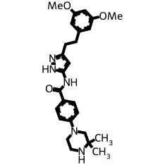 COc1cc(CCc2cc(NC(=O)c3ccc(N4CCNC(C)(C)C4)cc3)[nH]n2)cc(OC)c1